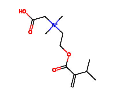 C=C(C(=O)OCC[N+](C)(C)CC(=O)O)C(C)C